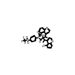 COc1cccc2nccc(C(C)C3(C(C)c4ccnc5cccc(OC)c45)NC(=O)N(c4ccc(S(=O)(=O)C(F)(F)F)cc4)C3=O)c12